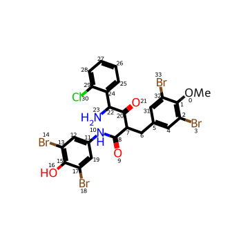 COc1c(Br)cc(CC(C(=O)Nc2cc(Br)c(O)c(Br)c2)C(=O)C(N)c2ccccc2Cl)cc1Br